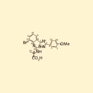 COc1ccc(-c2nc3c4cccc(Br)c4nc(N[C@H](C)C(=O)O)n3n2)cc1